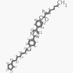 CCCCCC[C@@H](F)C(=O)Oc1ccc(-c2cnc(-c3ccc(OCCCCCCCC4CCCC4)cc3)nc2)cc1